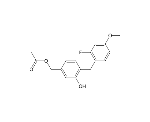 COc1ccc(Cc2ccc(COC(C)=O)cc2O)c(F)c1